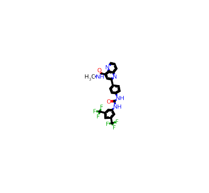 CNC(=O)c1cc(-c2ccc(NC(=O)Nc3cc(C(F)(F)F)cc(C(F)(F)F)c3)cc2)nc2cccnc12